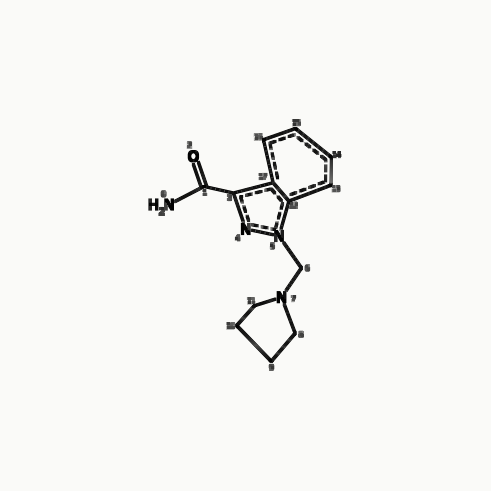 NC(=O)c1nn(CN2CCCC2)c2ccccc12